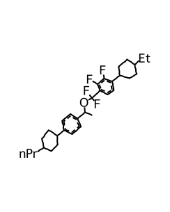 CCCC1CCC(c2ccc(C(C)OC(F)(F)c3ccc(C4CCC(CC)CC4)c(F)c3F)cc2)CC1